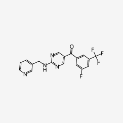 O=C(c1cnc(NCc2cccnc2)nc1)c1cc(F)cc(C(F)(F)F)c1